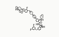 O=C1CCC(N2Cc3c(ccc(CN4CCC(N5CCN(c6ccc(C(=O)Nc7n[nH]c8ccc(Cc9cc(F)cc(F)c9)cc78)c(NC7CCOCC7)c6)CC5)CC4)c3F)C2=O)C(=O)N1